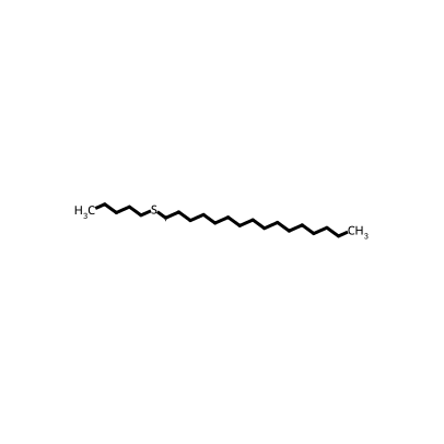 CCCCCCCCCCCCCCC[CH]SCCCCC